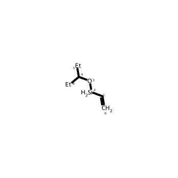 C=C[SiH2]OC(CC)CC